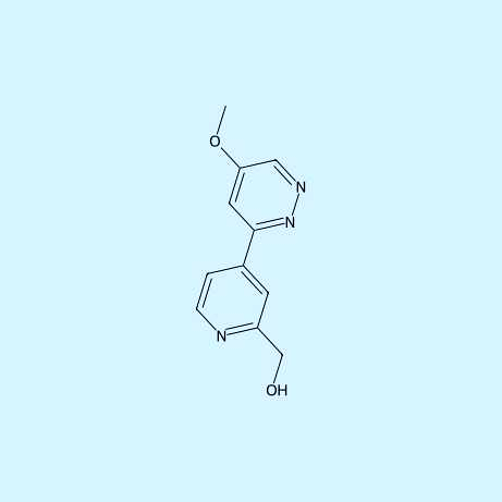 COc1cnnc(-c2ccnc(CO)c2)c1